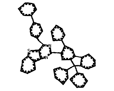 c1ccc(-c2ccc(-c3nc(-c4cc5c(cc4-c4ccccc4)-c4ccccc4C5(c4ccccc4)c4ccccc4)nc4c3sc3ccccc34)cc2)cc1